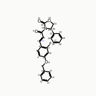 O=C(/C=C/c1ccc(OCc2ccccc2)cc1F)N1C(=O)OC[C@H]1c1ccccc1